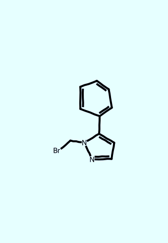 BrCn1nccc1-c1ccccc1